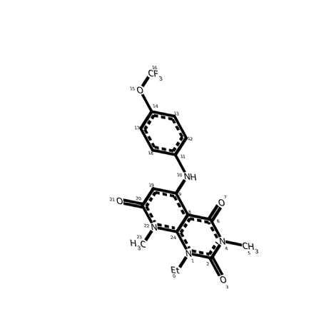 CCn1c(=O)n(C)c(=O)c2c(Nc3ccc(OC(F)(F)F)cc3)cc(=O)n(C)c21